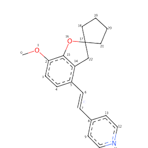 COc1ccc(/C=C/c2ccncc2)c2c1OC1(CCCC1)C2